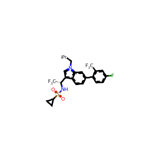 CC(C)Cn1cc([C@H](NS(=O)(=O)C2CC2)C(F)(F)F)c2ccc(-c3ccc(F)cc3C(F)(F)F)cc21